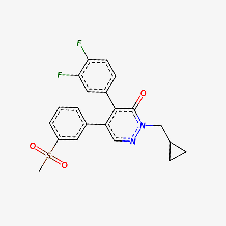 CS(=O)(=O)c1cccc(-c2cnn(CC3CC3)c(=O)c2-c2ccc(F)c(F)c2)c1